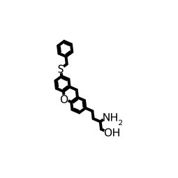 NC(CO)CCc1ccc2c(c1)Cc1cc(SCc3ccccc3)ccc1O2